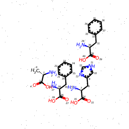 C[C@H](N)C(=O)O.N[C@@H](Cc1c[nH]cn1)C(=O)O.N[C@@H](Cc1ccccc1)C(=O)O.N[C@@H](Cc1ccccc1)C(=O)O